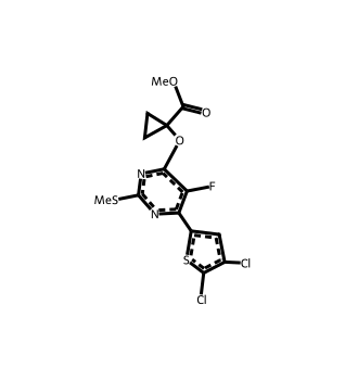 COC(=O)C1(Oc2nc(SC)nc(-c3cc(Cl)c(Cl)s3)c2F)CC1